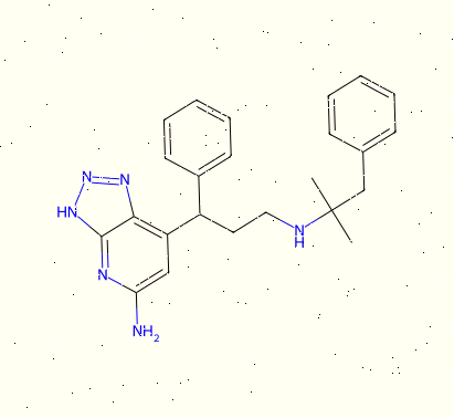 CC(C)(Cc1ccccc1)NCCC(c1ccccc1)c1cc(N)nc2[nH]nnc12